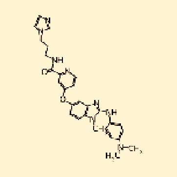 CN(C)c1ccc(Nc2nc3cc(Oc4ccnc(C(=O)NCCCn5ccnc5)c4)ccc3n2C)cc1